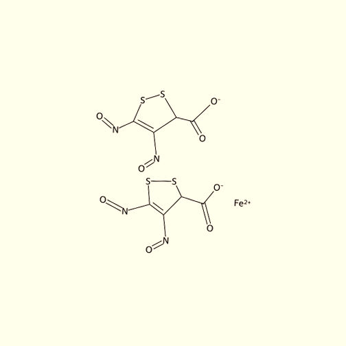 O=NC1=C(N=O)C(C(=O)[O-])SS1.O=NC1=C(N=O)C(C(=O)[O-])SS1.[Fe+2]